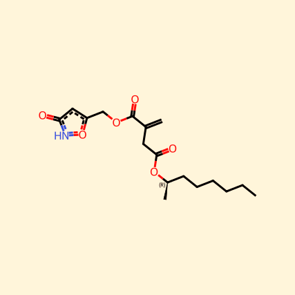 C=C(CC(=O)O[C@H](C)CCCCCC)C(=O)OCc1cc(=O)[nH]o1